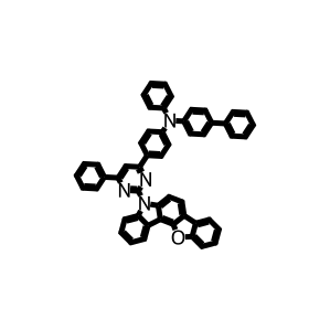 c1ccc(-c2ccc(N(c3ccccc3)c3ccc(-c4cc(-c5ccccc5)nc(-n5c6ccccc6c6c7oc8ccccc8c7ccc65)n4)cc3)cc2)cc1